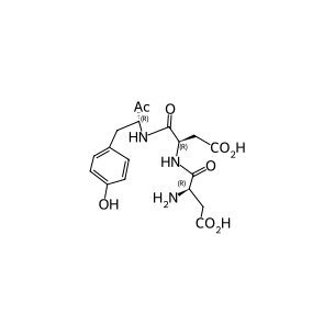 CC(=O)[C@@H](Cc1ccc(O)cc1)NC(=O)[C@@H](CC(=O)O)NC(=O)[C@H](N)CC(=O)O